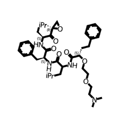 CC(C)CC(NC(=O)[C@H](CCc1ccccc1)OCCOCCN(C)C)C(=O)N[C@@H](Cc1ccccc1)C(=O)N[C@@H](CC(C)C)C(=O)[C@@]1(C)CO1